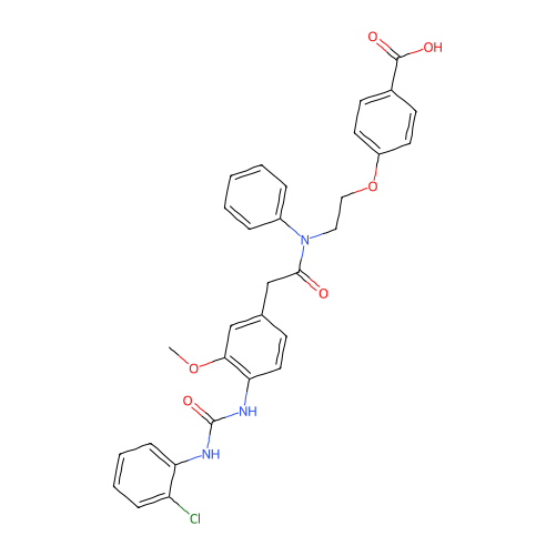 COc1cc(CC(=O)N(CCOc2ccc(C(=O)O)cc2)c2ccccc2)ccc1NC(=O)Nc1ccccc1Cl